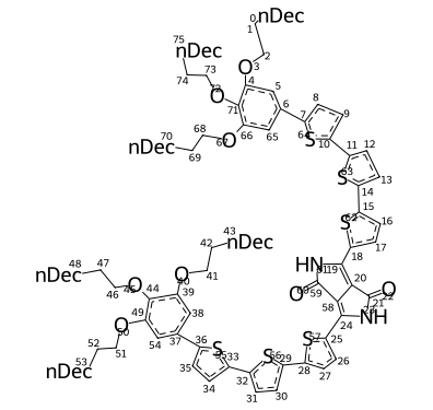 CCCCCCCCCCCCOc1cc(-c2ccc(-c3ccc(-c4ccc(C5=C6C(=O)NC(c7ccc(-c8ccc(-c9ccc(-c%10cc(OCCCCCCCCCCCC)c(OCCCCCCCCCCCC)c(OCCCCCCCCCCCC)c%10)s9)s8)s7)=C6C(=O)N5)s4)s3)s2)cc(OCCCCCCCCCCCC)c1OCCCCCCCCCCCC